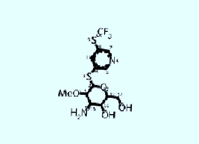 COC1C(Sc2cncc(SC(F)(F)F)c2)OC(CO)C(O)C1N